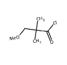 COCC(C)(C)C(=O)Cl